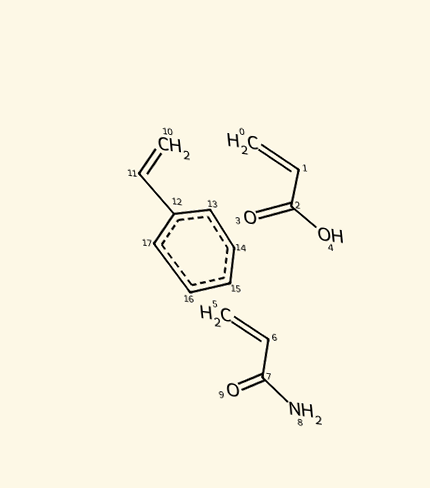 C=CC(=O)O.C=CC(N)=O.C=Cc1ccccc1